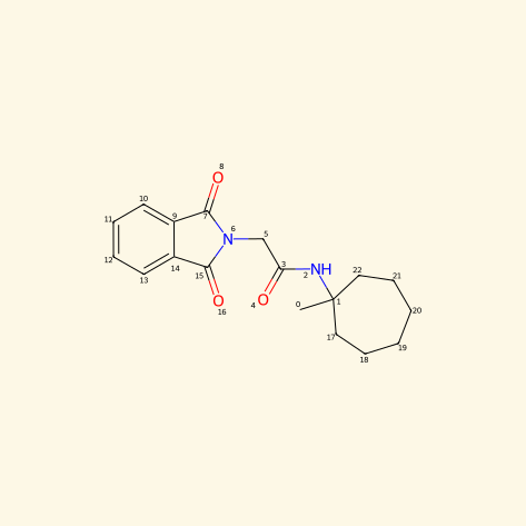 CC1(NC(=O)CN2C(=O)c3ccccc3C2=O)CCCCCC1